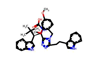 COc1ccc(Cn2c(CCc3c[nH]c4ccccc34)nnc2C(NC(=O)O)[C@@H](c2c[nH]c3ccccc23)C(C)(C)C)c(OC)c1